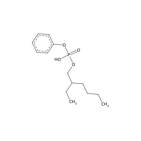 CCCCC(CC)COP(=O)(O)Oc1ccccc1